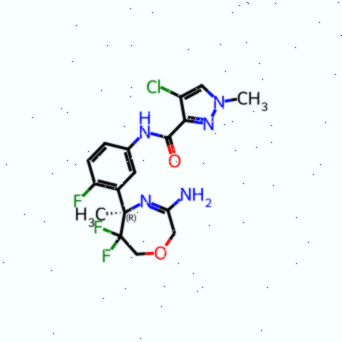 Cn1cc(Cl)c(C(=O)Nc2ccc(F)c([C@@]3(C)N=C(N)COCC3(F)F)c2)n1